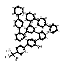 Oc1cc(-c2ccc(C(O)(O)O)cn2)ccc1-c1ccccc1-c1cc(-c2ccccc2-c2ccc(-c3ccccn3)cc2)cc(-c2ccccc2-c2ccc(-c3ccccn3)cc2)c1